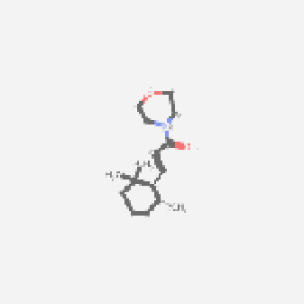 C[C@@H]1CCCC(C)(C)[C@H]1/C=C/C(=O)N1CCOCC1